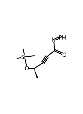 C[C@H](C#CC(=O)N=P)O[Si](C)(C)C